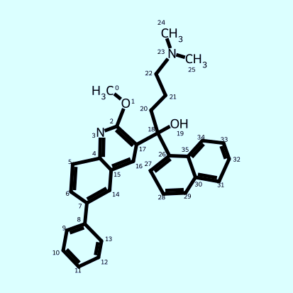 COc1nc2ccc(-c3ccccc3)cc2cc1C(O)(CCCN(C)C)c1cccc2ccccc12